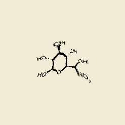 O=[N+]([O-])C(O)[C@H]1O[C@@H](O)[C@H](O)[C@@H](O)[C@@H]1O